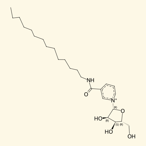 CCCCCCCCCCCCCCNC(=O)c1ccc[n+]([C@@H]2O[C@H](CO)[C@@H](O)[C@H]2O)c1